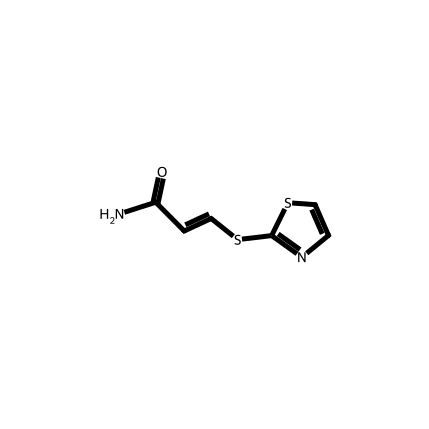 NC(=O)C=CSc1nccs1